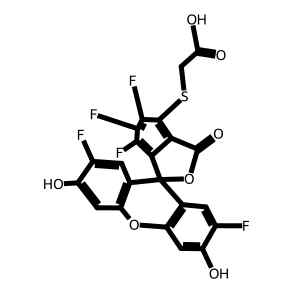 O=C(O)CSc1c(F)c(F)c(F)c2c1C(=O)OC21c2cc(F)c(O)cc2Oc2cc(O)c(F)cc21